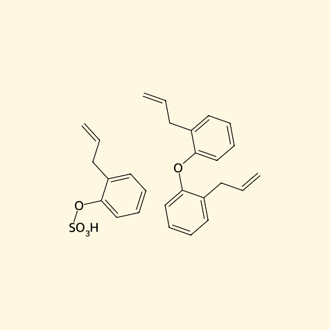 C=CCc1ccccc1OS(=O)(=O)O.C=CCc1ccccc1Oc1ccccc1CC=C